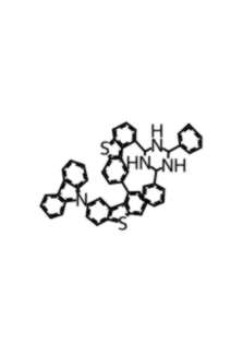 c1ccc(C2NC(c3ccccc3)NC(c3cccc4sc5ccc(-c6cccc7sc8ccc(-n9c%10ccccc%10c%10ccccc%109)cc8c67)cc5c34)N2)cc1